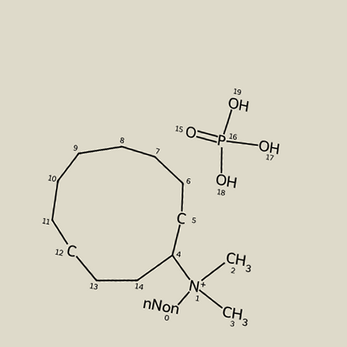 CCCCCCCCC[N+](C)(C)C1CCCCCCCCCC1.O=P(O)(O)O